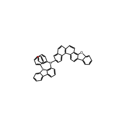 c1ccc(N(c2ccc3c(ccc4ccc5c(ccc6c7ccccc7oc65)c43)c2)c2cccc3c4ccccc4n(-c4ccccc4)c23)cc1